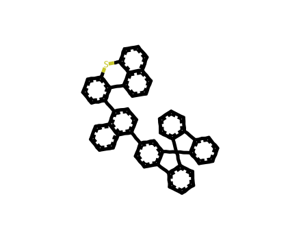 c1ccc2c(c1)-c1ccccc1C21c2ccccc2-c2ccc(-c3ccc(-c4cccc5c4-c4cccc6cccc(c46)S5)c4ccccc34)cc21